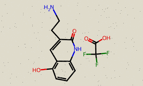 NCCc1cc2c(O)cccc2[nH]c1=O.O=C(O)C(F)(F)F